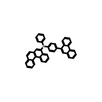 c1ccc(N(c2ccc(-c3cc4ccccc4c4ccccc34)cc2)c2cc3ccc4ccccc4c3c3ccccc23)cc1